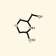 O=CC1COCC(CO)N1